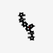 c1cc(-c2ccc(-c3cnc(C4CCCN4)[nH]3)c3c2C2CCC3C2)ccc1-c1cnc(C2CCCN2)[nH]1